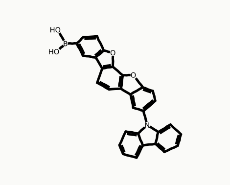 OB(O)c1ccc2oc3c(ccc4c5cc(-n6c7ccccc7c7ccccc76)ccc5oc43)c2c1